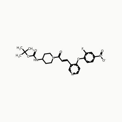 CC(C)(C)OC(=O)NC1CCN(C(=O)C=Cc2cnccc2Oc2ccc([N+](=O)[O-])cc2F)CC1